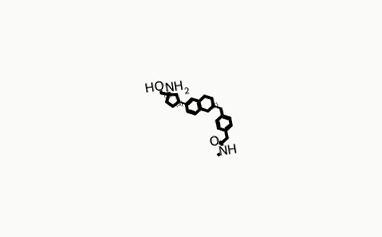 CNC(=O)Cc1ccc(C[C@@H]2CCc3cc([C@H]4CC[C@](N)(CO)C4)ccc3C2)cc1